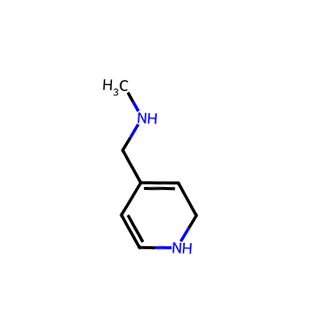 CNCC1=CCNC=C1